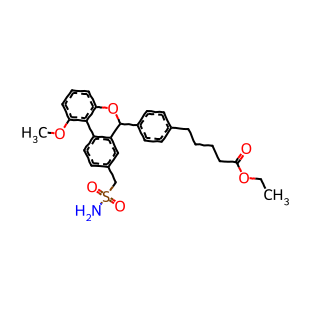 CCOC(=O)CCCCc1ccc(C2Oc3cccc(OC)c3-c3ccc(CS(N)(=O)=O)cc32)cc1